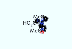 COC(=O)N1c2ccc3c(nc(Nc4ccccc4OC)n3[C@@H]3CCC[C@@H](C(=O)O)C3)c2CCC1C